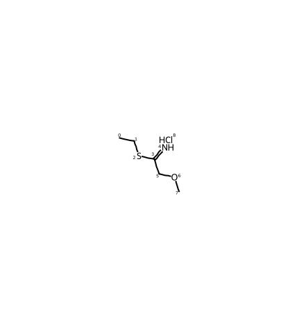 CCSC(=N)COC.Cl